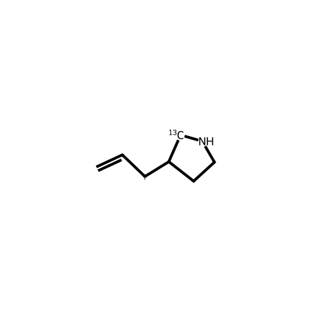 C=C[CH]C1CCN[13CH2]1